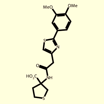 COc1ccc(-c2nc(CC(=O)NC3(C(=O)O)CCSC3)cs2)cc1OC